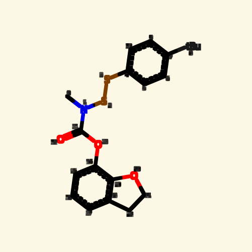 CN(SSc1ccc(C(C)(C)C)cc1)C(=O)Oc1cccc2c1OCC2